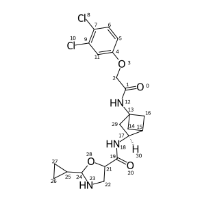 O=C(COc1ccc(Cl)c(Cl)c1)NC12CC(C1)[C@@H](NC(=O)C1CNC(C3CC3)O1)C2